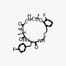 C[C@@H]1CNCC(=O)N(C)[C@H](C)C(=O)N[C@H](Cc2ccc(F)cc2)C(=O)NCCCc2cccc(F)c2O1